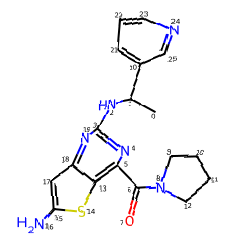 CC(Nc1nc(C(=O)N2CCCC2)c2sc(N)cc2n1)c1cccnc1